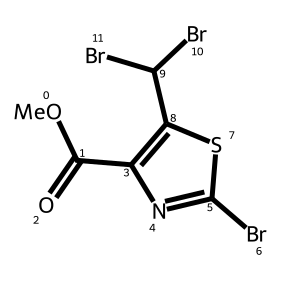 COC(=O)c1nc(Br)sc1C(Br)Br